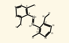 CCc1cccc(C)c1N=Nc1c(C)cccc1CC